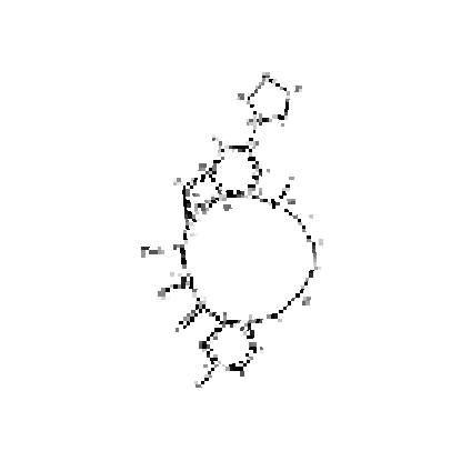 C=C1c2cc(C)ccc2CCCCCN(C)c2cc(N3CCCC3)nc3cc(nn23)C(CC)N1C